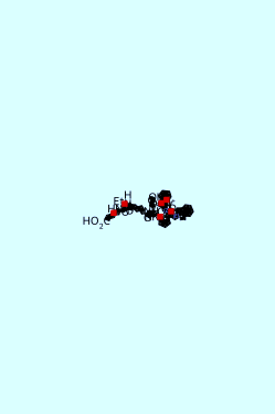 CCC(NC(=O)CCCCNC(=O)[C@H](CSOOO)NC(=O)[C@H]1CCCN1C1=C(/C=C2/N(C)c3ccccc3C2(C)C)C(=O)/C1=C\C1=[N+](C)c2ccccc2C1(C)C)C(=O)NCCCCC(=O)O